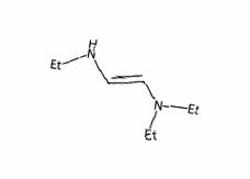 CCNC=CN(CC)CC